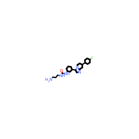 NCCCNC(=O)Nc1cccc(-c2cnc3cc(-c4ccc(F)cc4)ccn23)c1